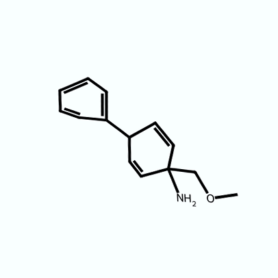 COCC1(N)C=CC(c2ccccc2)C=C1